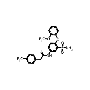 NS(=O)(=O)c1cc(NC(=O)Cc2ccc(C(F)(F)F)cc2)ccc1Oc1ccccc1OC(F)(F)F